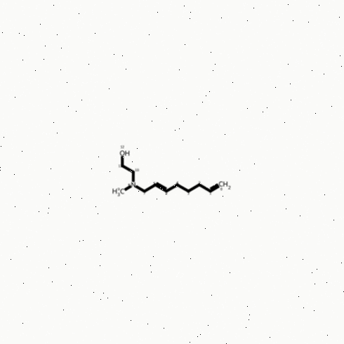 C=CCCCC=CCN(C)CCO